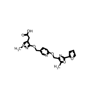 Cc1oc(-c2ccco2)nc1COc1ccc(COc2nn(C)cc2CC(=O)O)cn1